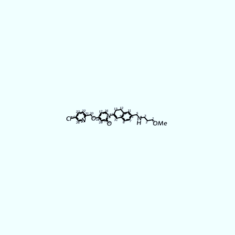 COCCCNCc1ccc2c(c1)CCC(n1ccc(OCc3ccc(Cl)cn3)cc1=O)=C2